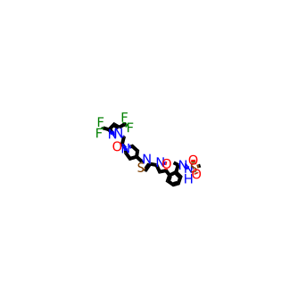 C/C(=N/NS(C)(=O)=O)c1ccccc1C1CC(c2csc(C3CCN(C(=O)Cn4nc(C(F)F)cc4C(F)F)CC3)n2)=NO1